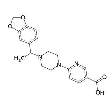 CC(c1ccc2c(c1)OCO2)N1CCN(c2ccc(C(=O)O)cn2)CC1